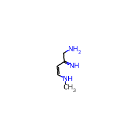 CN/C=C\C(=N)CN